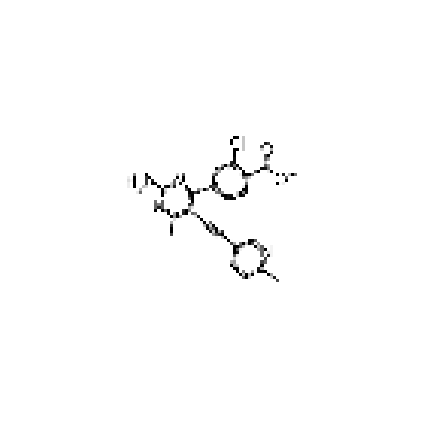 COC(=O)c1ccc(-c2nc(N)nc(C)c2C#Cc2ccc(C)nc2)cc1Cl